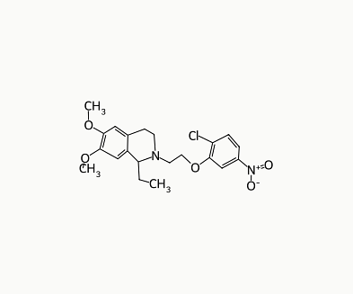 CCC1c2cc(OC)c(OC)cc2CCN1CCOc1cc([N+](=O)[O-])ccc1Cl